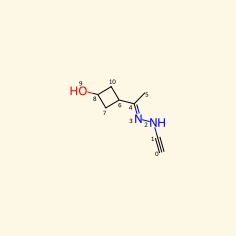 C#CN/N=C(\C)C1CC(O)C1